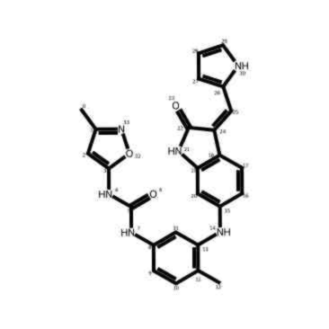 Cc1cc(NC(=O)Nc2ccc(C)c(Nc3ccc4c(c3)NC(=O)/C4=C\c3ccc[nH]3)c2)on1